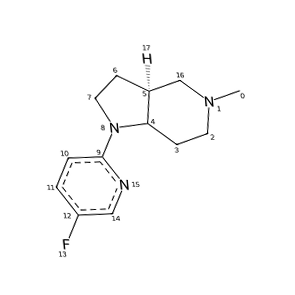 CN1CCC2[C@@H](CCN2c2ccc(F)cn2)C1